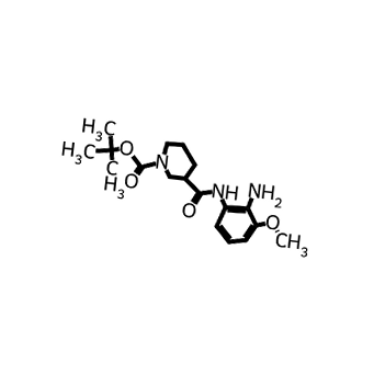 COc1cccc(NC(=O)C2CCCN(C(=O)OC(C)(C)C)C2)c1N